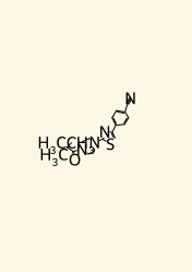 CC(C)(C)C(=O)N1CCN(c2nc(-c3ccc(C#N)cc3)cs2)CC1